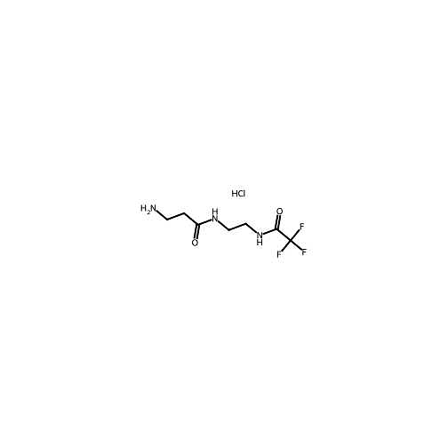 Cl.NCCC(=O)NCCNC(=O)C(F)(F)F